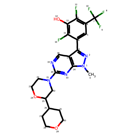 Cn1nc(-c2cc(C(F)(F)F)c(F)c(O)c2F)c2cnc(N3CCOC(C4CCOCC4)C3)nc21